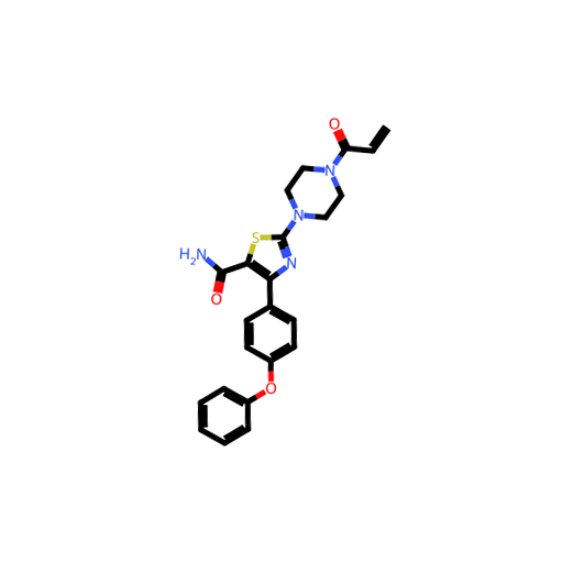 C=CC(=O)N1CCN(c2nc(-c3ccc(Oc4ccccc4)cc3)c(C(N)=O)s2)CC1